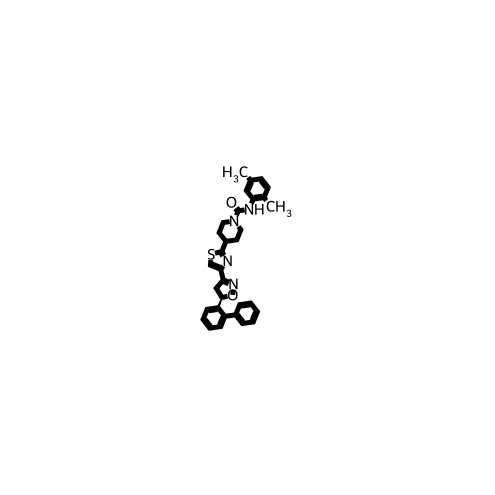 Cc1ccc(C)c(NC(=O)N2CCC(c3nc(C4=NO[C@@H](c5ccccc5-c5ccccc5)C4)cs3)CC2)c1